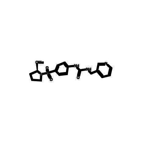 CO[C@@H]1CCCN1S(=O)(=O)c1ccc(NC(=O)NCc2cccnc2)cc1